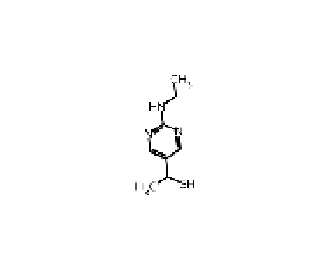 CCNc1ncc(C(C)S)cn1